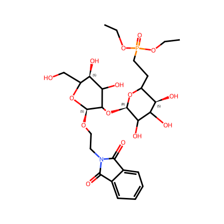 CCOP(=O)(CCC1O[C@H](OC2C(O)[C@H](O)C(CO)O[C@@H]2OCCN2C(=O)c3ccccc3C2=O)C(O)C(O)[C@@H]1O)OCC